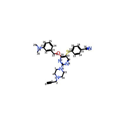 C#CCN1CCN(c2ncc(Sc3ccc(C#N)cc3)c(OCc3cccc(N(C)C)c3)n2)CC1